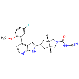 COc1ccc(F)cc1-c1ccnc2[nH]c(C3C[C@@H]4CN(C(=O)NC#N)C[C@@H]4C3)cc12